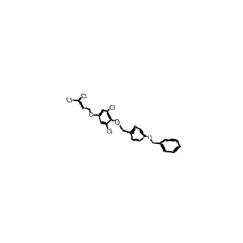 ClC(Cl)=CCOc1cc(Cl)c(OCc2ccc(OCc3ccccc3)cc2)c(Cl)c1